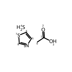 CC(=O)O.S.c1cscn1